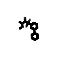 CON(C)C(=O)C(F)(F)c1cccc(-c2ccccc2)c1